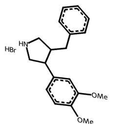 Br.COc1ccc(C2CNCC2Cc2ccccc2)cc1OC